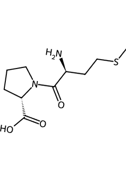 CSCC[C@H](N)C(=O)N1CCC[C@H]1C(=O)O